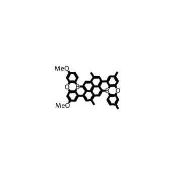 COc1ccc2c(c1)Oc1cc(OC)cc3c1B2c1cc2c(C)cc4c5c(cc6c(C)cc-3c1c6c25)B1c2ccc(C)cc2Oc2cc(C)cc-4c21